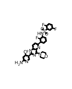 Nc1cc(C(F)(F)F)c(-c2nc(N3CCOCC3)c3nc(-c4cccc(NS(=O)(=O)c5cc(F)ccc5F)c4F)ccc3n2)cn1